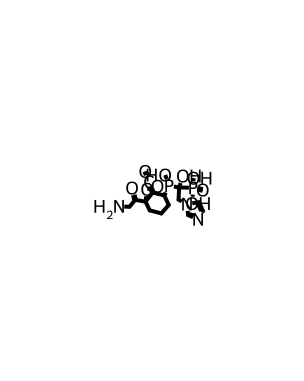 NCC(=O)C12CCCC(P(O)C(O)(Cn3ccnc3)P(=O)(O)O)(OO1)C2=C=O